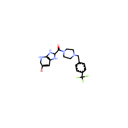 O=C(C1NC2=C(NCC(Br)=C2)N1)N1CCN(Cc2ccc(C(F)(F)F)cc2)CC1